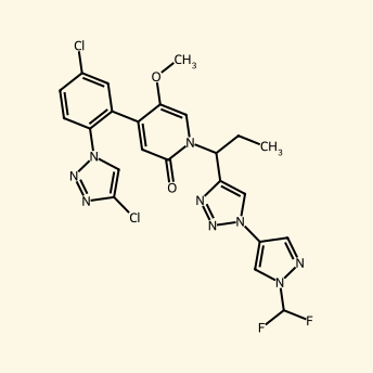 CCC(c1cn(-c2cnn(C(F)F)c2)nn1)n1cc(OC)c(-c2cc(Cl)ccc2-n2cc(Cl)nn2)cc1=O